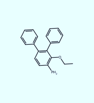 CCOc1c(P)ccc(-c2ccccc2)c1-c1ccccc1